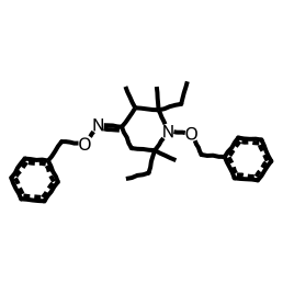 CCC1(C)C/C(=N\OCc2ccccc2)C(C)C(C)(CC)N1OCc1ccccc1